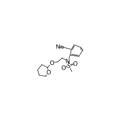 CS(=O)(=O)N(CCOC1CCCCO1)c1ccccc1C#N